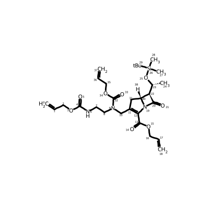 C=CCOC(=O)NCCN(CC1=C(C(=O)OCC=C)N2C(=O)[C@H]([C@@H](C)O[Si](C)(C)C(C)(C)C)[C@H]2C1)C(=O)OCC=C